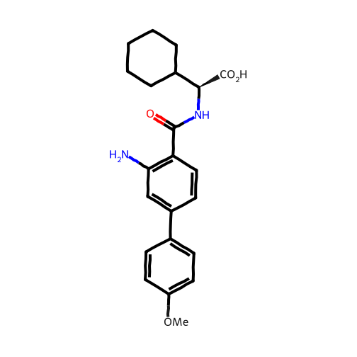 COc1ccc(-c2ccc(C(=O)N[C@H](C(=O)O)C3CCCCC3)c(N)c2)cc1